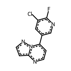 Fc1ncc(-c2ccnc3ccnn23)cc1Cl